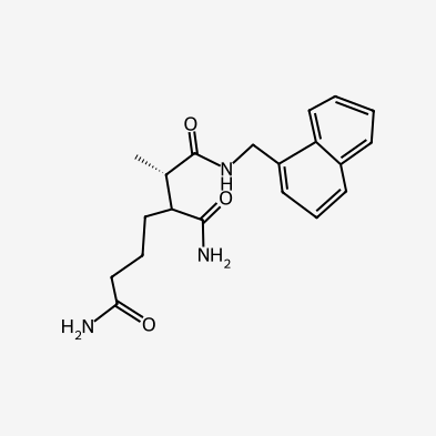 C[C@H](C(=O)NCc1cccc2ccccc12)C(CCCC(N)=O)C(N)=O